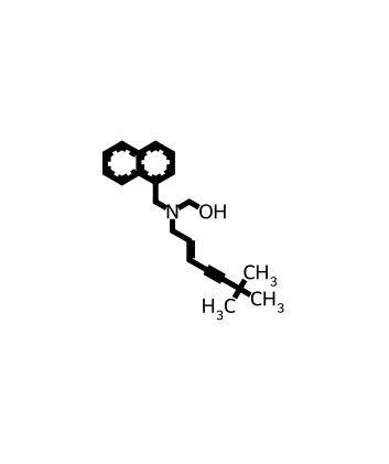 CC(C)(C)C#C/C=C/CN(CO)Cc1cccc2ccccc12